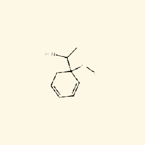 CCOC1(C(C)N)C=CC=CC1